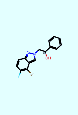 O[C@@H](Cn1cc2c(Br)c(F)ccc2n1)c1ccccc1